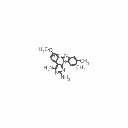 COc1ccc(-c2c(N)nc(N)nc2-n2c(C)nc3cc(C)c(C)cc32)cc1